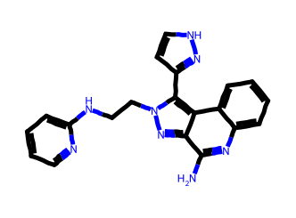 Nc1nc2ccccc2c2c(-c3cc[nH]n3)n(CCNc3ccccn3)nc12